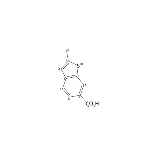 Cc1cc2ccc(C(=O)O)cc2s1